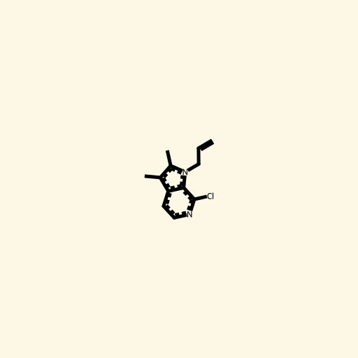 C=CCn1c(C)c(C)c2ccnc(Cl)c21